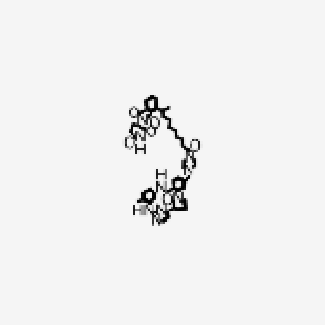 Cc1ccc(NC(=O)c2ccc(CN3CCN(C(=O)CCCCCCCC(C)c4cccc5c4C(=O)N(C4CCC(=O)NC4=O)C5=O)CC3)cc2)cc1Nc1nccc(-c2cccnc2)n1